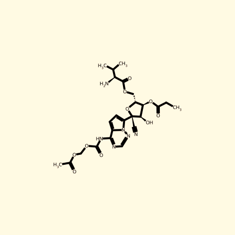 CCC(=O)O[C@H]1[C@@H](O)[C@](C#N)(c2ccc3c(NC(=O)OCOC(C)=O)ncnn23)O[C@@H]1COC(=O)[C@@H](N)C(C)C